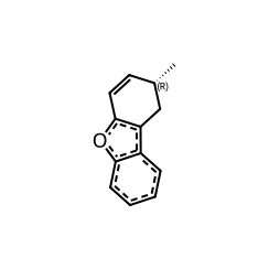 C[C@H]1C=Cc2oc3ccccc3c2C1